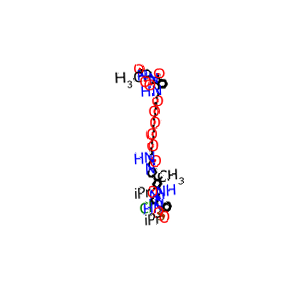 Cc1cc(Nc2ncc(Cl)c(Nc3ccccc3S(=O)(=O)C(C)C)n2)c(OC(C)C)cc1C1CCN(CC(=O)NCCOCCOCCOCCOCCOCCNc2cccc3c2C(=O)N(C2CCC(=O)N(C)C2=O)C3=O)CC1